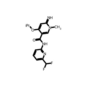 CC(C)Oc1cc(=N)n(C)cc1C(=O)Nc1cccc(C(F)F)n1